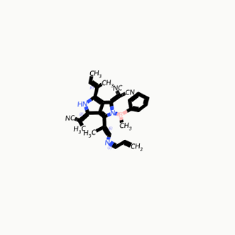 C=C/C=N\C=C(/C)c1c2/c(=C(\C)C#N)[nH]c(/C(C)=C/C)c2c(=C(C#N)C#N)n1B(C)c1ccccc1